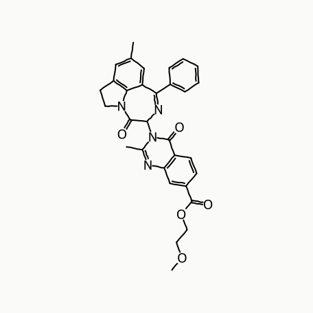 COCCOC(=O)c1ccc2c(=O)n(C3N=C(c4ccccc4)c4cc(C)cc5c4N(CC5)C3=O)c(C)nc2c1